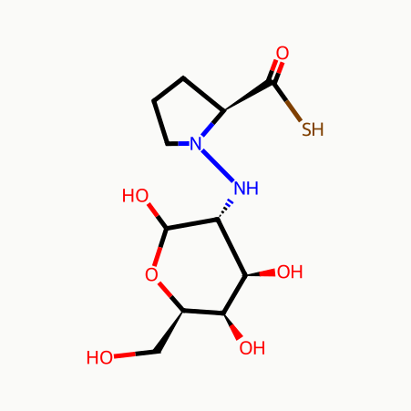 O=C(S)[C@@H]1CCCN1N[C@H]1C(O)O[C@H](CO)[C@H](O)[C@@H]1O